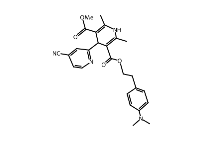 COC(=O)C1=C(C)NC(C)=C(C(=O)OCCc2ccc(N(C)C)cc2)C1c1cc(C#N)ccn1